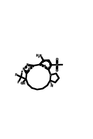 CS(=O)(=O)c1cc(N)c2nc1N1CCC[C@H]1CCCCCC(O)(C(F)(F)F)c1nnc-2o1